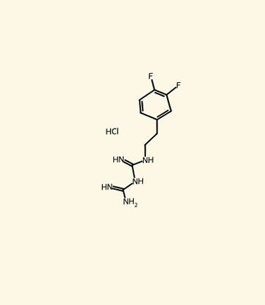 Cl.N=C(N)NC(=N)NCCc1ccc(F)c(F)c1